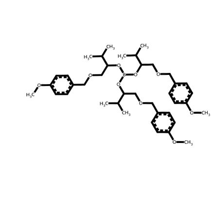 COc1ccc(COCC(OB(OC(COCc2ccc(OC)cc2)C(C)C)OC(COCc2ccc(OC)cc2)C(C)C)C(C)C)cc1